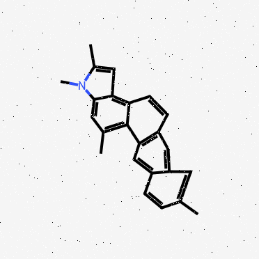 Cc1ccc2cc3c(ccc4c5cc(C)n(C)c5cc(C)c34)cc2c1